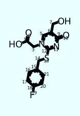 O=C(O)Cn1cc(CO)c(=O)nc1SCc1ccc(F)cc1